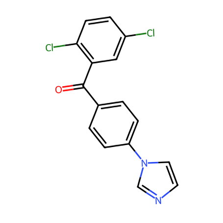 O=C(c1ccc(-n2ccnc2)cc1)c1cc(Cl)ccc1Cl